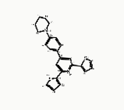 c1csc(-c2cc(-c3ccc(N4CCCCC4)cc3)cc(-c3cccs3)n2)c1